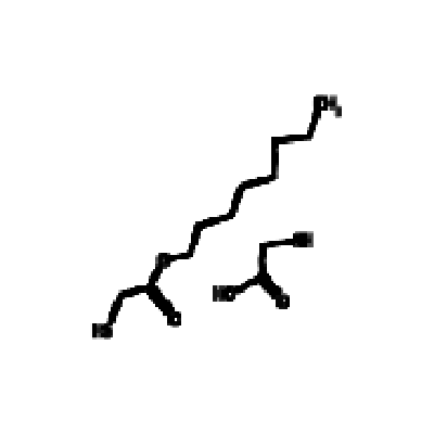 CCCCCCCCOC(=O)CS.O=C(O)CS